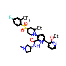 CCOc1ncccc1-c1ccc(N2CCC(S(=O)(=O)c3ccc(F)cc3C(F)(F)F)C[C@H]2CC)c(C(=O)N[C@@H]2CCN(C)C2)n1